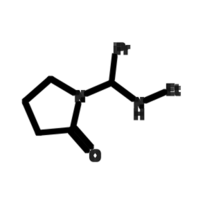 CCNC(C(C)C)N1CCCC1=O